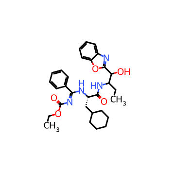 CCOC(=O)N=C(N[C@@H](CC1CCCCC1)C(=O)NC(CC)C(O)c1nc2ccccc2o1)c1ccccc1